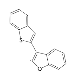 [c]1oc2ccccc2c1-c1cc2ccccc2s1